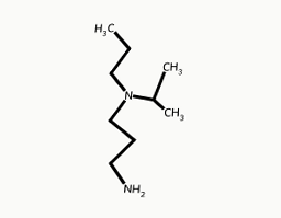 CCCN(CCCN)C(C)C